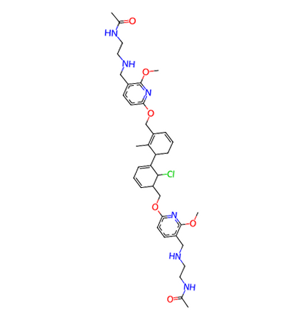 COc1nc(OCC2=C(C)C(C3=CC=CC(COc4ccc(CNCCNC(C)=O)c(OC)n4)C3Cl)CC=C2)ccc1CNCCNC(C)=O